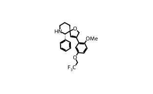 COc1ccc(OCC(F)(F)F)cc1C1=C[C@@]2(CCCN[C@H]2c2ccccc2)OC1